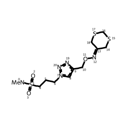 CNS(=O)(=O)CCCn1cc(CON=C2CSCSC2)nn1